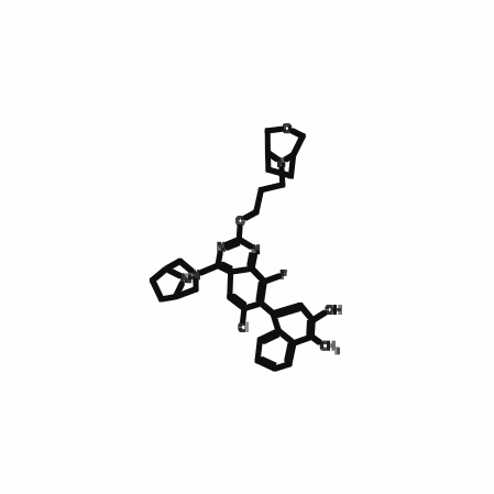 Cc1c(O)cc(-c2c(Cl)cc3c(N4CC5CCC(C4)N5)nc(OCCCN4C5CCC4COC5)nc3c2F)c2ccccc12